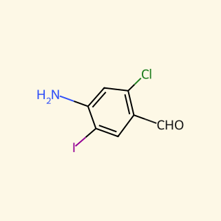 Nc1cc(Cl)c(C=O)cc1I